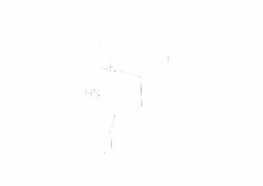 [O-][NH+]1NC(C(F)(F)F)CC1C(F)(F)F